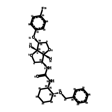 O=C(N[C@H]1CO[C@H]2[C@@H]1OC[C@@H]2Oc1ccc(F)cc1)N[C@@H]1CCCC[C@H]1OCc1ccccc1